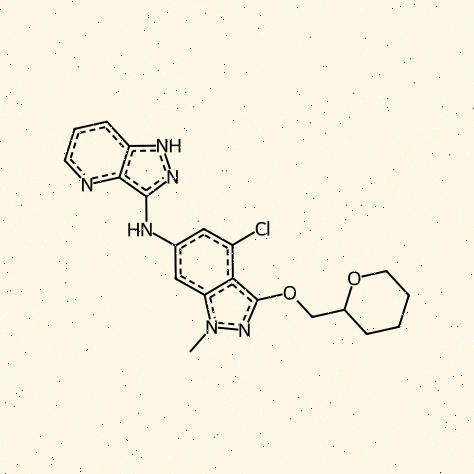 Cn1nc(OCC2CCCCO2)c2c(Cl)cc(Nc3n[nH]c4cccnc34)cc21